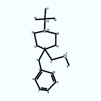 COCC1(Cc2ccccc2)CCN(C(C)(C)C)CC1